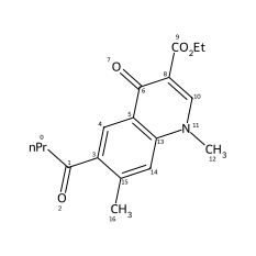 CCCC(=O)c1cc2c(=O)c(C(=O)OCC)cn(C)c2cc1C